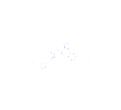 CC(=O)c1ccc(Cn2ccc(NC(=O)c3ncoc3-c3cccc(CCO)c3)n2)o1